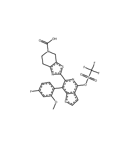 COc1cc(F)ccc1-c1c(-c2nc3c(s2)CN(C(=O)O)CC3)nc(OS(=O)(=O)C(F)(F)F)c2ccsc12